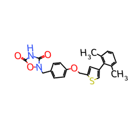 Cc1cccc(C)c1-c1csc(COc2ccc(Cn3oc(=O)[nH]c3=O)cc2)c1